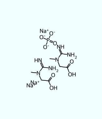 CN(CC(=O)O)C(=N)N.CN(CC(=O)O)C(=N)N.O=P([O-])([O-])[O-].[Na+].[Na+].[Na+]